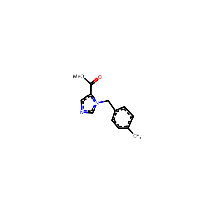 COC(=O)c1cncn1Cc1ccc(C(F)(F)F)cc1